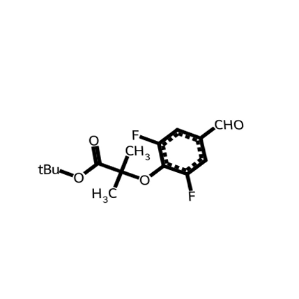 CC(C)(C)OC(=O)C(C)(C)Oc1c(F)cc(C=O)cc1F